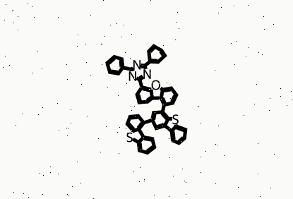 c1ccc(-c2nc(-c3ccccc3)nc(-c3cccc4c3oc3cccc(-c5cc(-c6cccc7sc8ccccc8c67)cc6c5sc5ccccc56)c34)n2)cc1